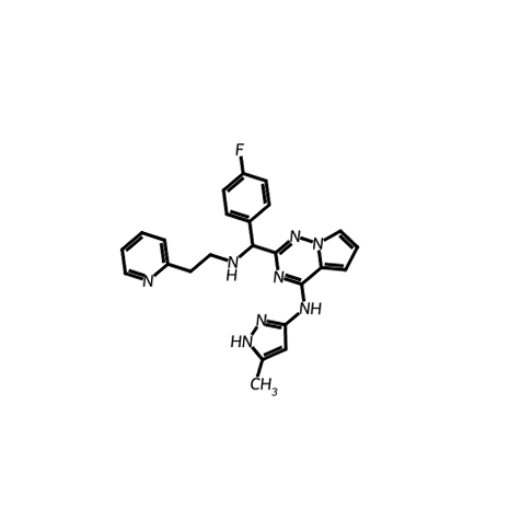 Cc1cc(Nc2nc(C(NCCc3ccccn3)c3ccc(F)cc3)nn3cccc23)n[nH]1